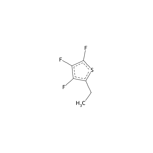 CCc1sc(F)c(F)c1F